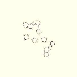 c1ccc(-c2cccc(N(c3ccc(-c4cccc5oc6c7ccccc7ccc6c45)cc3)c3ccc(-c4cccc5oc6c7ccccc7ccc6c45)cc3)c2)cc1